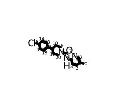 Cc1ccc(NC(=O)N2CCC(c3ccc(Cl)cc3)CC2)nc1